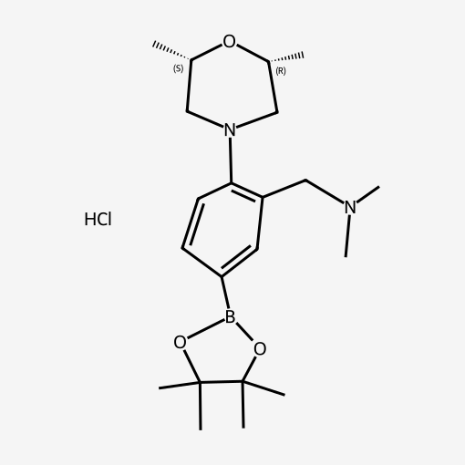 C[C@@H]1CN(c2ccc(B3OC(C)(C)C(C)(C)O3)cc2CN(C)C)C[C@H](C)O1.Cl